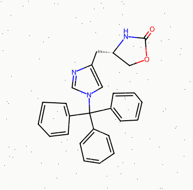 O=C1N[C@@H](Cc2cn(C(c3ccccc3)(c3ccccc3)c3ccccc3)cn2)CO1